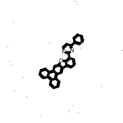 c1ccc(-c2ccnc(-c3cccc4c3oc3cc5c6ccccc6c6ccccc6c5cc34)n2)cc1